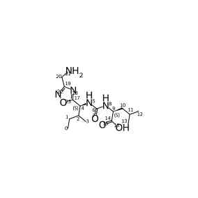 CCC(C)[C@H](NC(=O)N[C@@H](CC(C)C)C(=O)O)c1nc(CN)no1